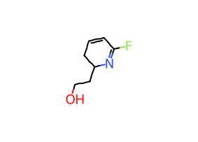 OCCC1CC=CC(F)=N1